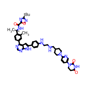 Cc1cc(-c2ncnc3[nH]c(-c4ccc(NCCNCC5CCN(c6ccc(N7CCC(=O)NC7=O)cn6)CC5)cc4)cc23)ccc1[C@@H](C)NC(=O)c1nc(C(C)(C)C)no1